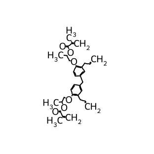 C=CCc1cc(Cc2ccc(OCC(C)OC(=O)C(=C)C)c(CC=C)c2)ccc1OCC(C)OC(=O)C(=C)C